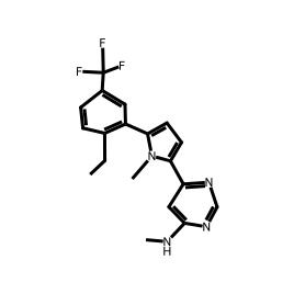 CCc1ccc(C(F)(F)F)cc1-c1ccc(-c2cc(NC)ncn2)n1C